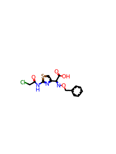 O=C(CCl)Nc1nc(C(=NOCc2ccccc2)C(=O)O)cs1